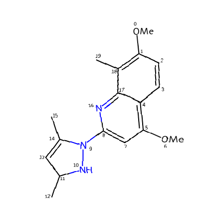 COc1ccc2c(OC)cc(N3NC(C)C=C3C)nc2c1C